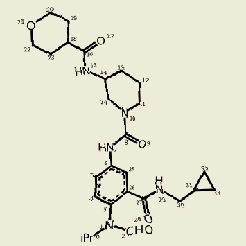 CC(C)N(C=O)c1ccc(NC(=O)N2CCCC(NC(=O)C3CCOCC3)C2)cc1C(=O)NCC1CC1